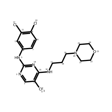 FC(F)(F)c1cnc(Nc2ccc(Cl)c(Cl)c2)nc1NCCCN1CCOCC1